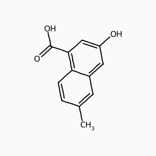 Cc1ccc2c(C(=O)O)cc(O)cc2c1